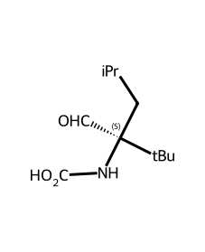 CC(C)C[C@](C=O)(NC(=O)O)C(C)(C)C